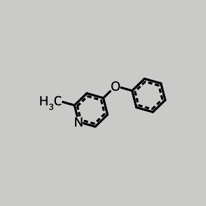 Cc1cc(Oc2ccccc2)ccn1